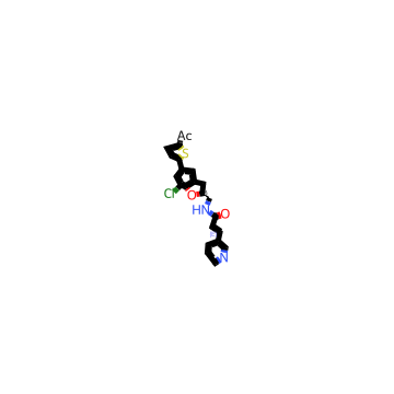 CC(=O)c1ccc(-c2cc(Cl)c3c(c2)C[C@H](CNC(=O)/C=C/c2cccnc2)O3)s1